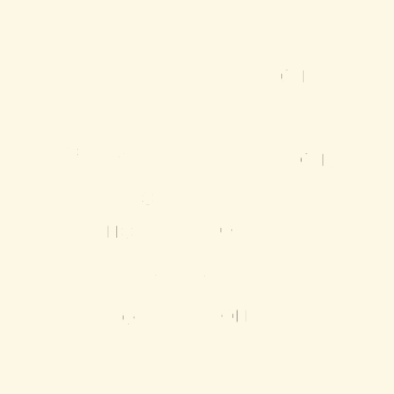 CC(C)CCC1C=COC1=O.O=C(O)C(=O)O